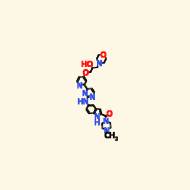 CN1CCN(C(=O)c2cc3cc(Nc4nccc(-c5cc(OCC(O)CN6CCOCC6)ccn5)n4)ccc3[nH]2)CC1